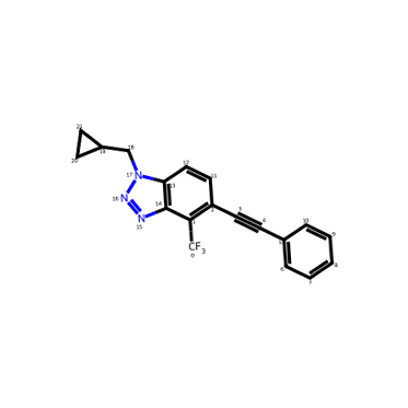 FC(F)(F)c1c(C#Cc2ccccc2)ccc2c1nnn2CC1CC1